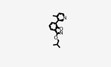 Cc1ccncc1-c1cccc2c(OCC(C)C)noc12